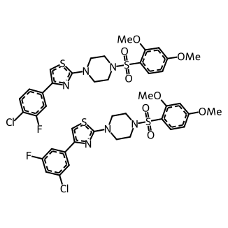 COc1ccc(S(=O)(=O)N2CCN(c3nc(-c4cc(F)cc(Cl)c4)cs3)CC2)c(OC)c1.COc1ccc(S(=O)(=O)N2CCN(c3nc(-c4ccc(Cl)c(F)c4)cs3)CC2)c(OC)c1